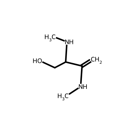 C=C(NC)C(CO)NC